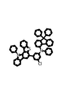 Clc1cc(-c2cc3c4ccccc4n(-c4ccccc4)c3c3c2sc2ccccc23)cc(N(c2ccccc2)c2cccc3c2-c2ccccc2C3(c2ccccc2)c2ccccc2)c1